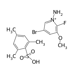 COc1cc(Br)c[n+](N)c1F.Cc1cc(C)c(S(=O)(=O)O)c(C)c1